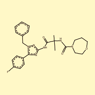 CC(C)(NC(=O)N1CCCOCC1)C(=O)Nc1nc(-c2ccc(F)cc2)n(Cc2ccccc2)n1